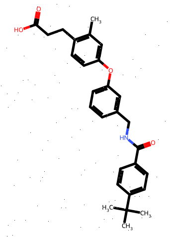 Cc1cc(Oc2cccc(CNC(=O)c3ccc(C(C)(C)C)cc3)c2)ccc1CCC(=O)O